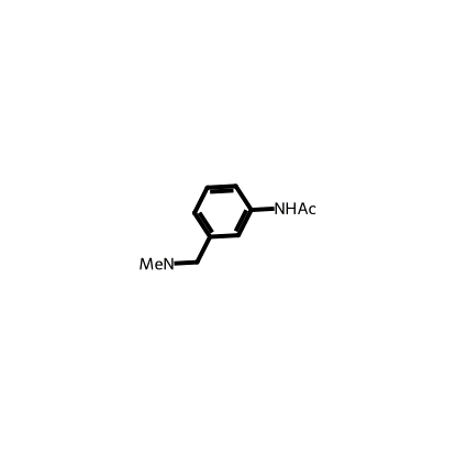 CNCc1cccc(NC(C)=O)c1